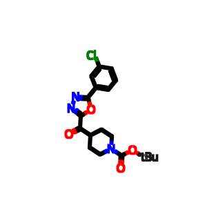 CC(C)(C)OC(=O)N1CCC(C(=O)c2nnc(-c3cccc(Cl)c3)o2)CC1